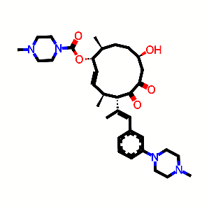 C/C(=C\c1cccc(N2CCN(C)CC2)c1)[C@H]1C(=O)C(=O)C[C@H](O)CC[C@H](C)[C@@H](OC(=O)N2CCN(C)CC2)/C=C/[C@@H]1C